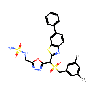 NS(=O)(=O)NCc1nnc(C(c2nc3ccc(-c4ccccc4)cc3s2)S(=O)(=O)Cc2cc(C(F)(F)F)cc(C(F)(F)F)c2)o1